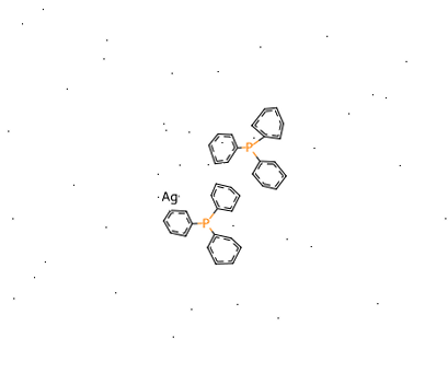 [Ag].c1ccc(P(c2ccccc2)c2ccccc2)cc1.c1ccc(P(c2ccccc2)c2ccccc2)cc1